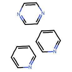 c1ccncc1.c1ccncc1.c1cnccn1